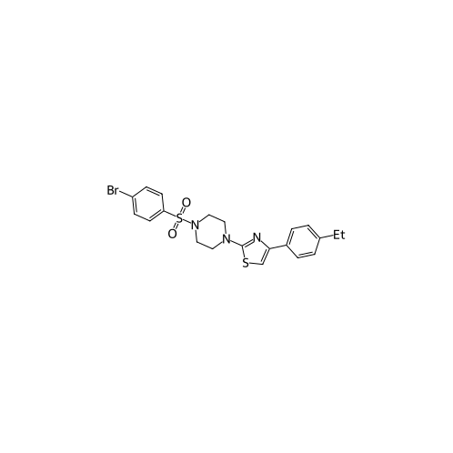 CCc1ccc(-c2csc(N3CCN(S(=O)(=O)c4ccc(Br)cc4)CC3)n2)cc1